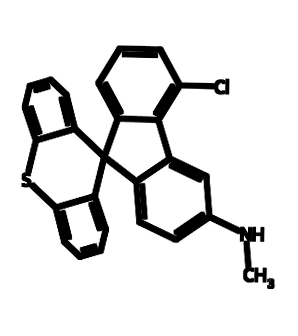 CNc1ccc2c(c1)-c1c(Cl)cccc1C21c2ccccc2Sc2ccccc21